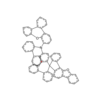 c1ccc(-c2ccccc2N(c2ccc3c(c2)-c2ccccc2-c2ccccc2C32c3ccccc3-c3c2ccc2c3oc3ccccc32)c2cccc3c2Oc2ccccc2-c2ccccc2-3)cc1